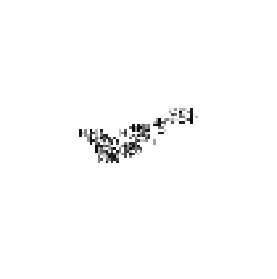 C[C@@H](O)C(=O)SCCNC(=O)CCNC(=O)[C@H](O)C(C)(C)COP(=O)(O)OP(=O)(O)OC[C@H]1O[C@@H](n2cnc3c(N)ncnc32)[C@H](O)[C@@H]1OP(=O)(O)O